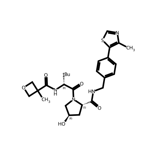 Cc1ncsc1-c1ccc(CNC(=O)[C@@H]2C[C@@H](O)CN2C(=O)[C@H](NC(=O)C2(C)COC2)C(C)(C)C)cc1